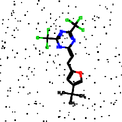 CC(C)(C)c1coc(CC=C2N=C(C(Cl)(Cl)Cl)N=C(C(Cl)(Cl)Cl)N2)c1